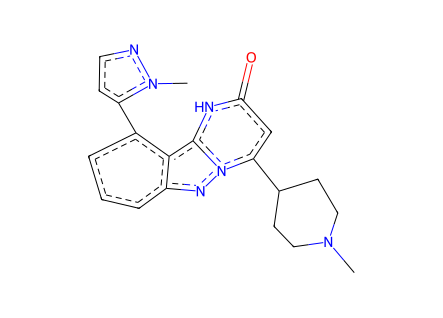 CN1CCC(c2cc(=O)[nH]c3c4c(-c5ccnn5C)cccc4nn23)CC1